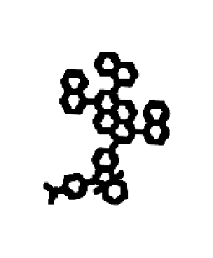 CN(C)c1ccc(N2c3ccc(-c4cc(-c5cccc6ccccc56)c5ccc6c(-c7cccc8ccccc78)cc(-c7cccc8ccccc78)c7ccc4c5c76)cc3C3(C)CCCCC23C)cc1